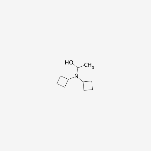 CC(O)N(C1CCC1)C1CCC1